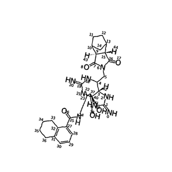 N=C1N[C@H]2C(CN3C(=O)[C@H]4C5CCC(C5)[C@@H]4C3=O)NC(=N)N3CC(NC(=O)c4cccc5c4CCCC5)C(O)(O)[C@]23N1